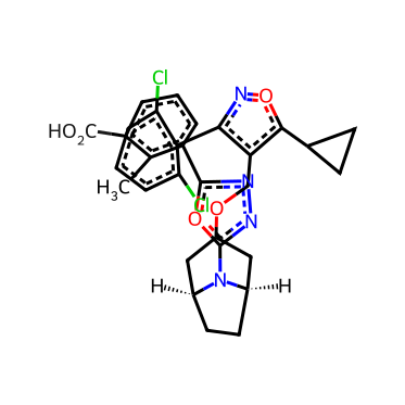 Cc1c(C(=O)O)cccc1-c1nnc(N2[C@@H]3CC[C@H]2CC(OCc2c(-c4c(Cl)cccc4Cl)noc2C2CC2)C3)o1